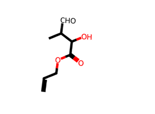 C=CCOC(=O)C(O)C(C)C=O